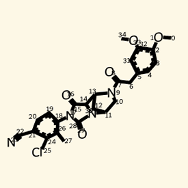 COc1ccc(CC(=O)N2CC3CC2C2C(=O)N(c4ccc(C#N)c(Cl)c4C)C(=O)N32)cc1OC